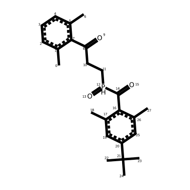 Cc1cccc(C)c1C(=O)CC[PH](=O)C(=O)c1c(C)cc(C(C)(C)C)cc1C